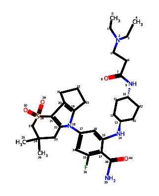 CCN(CC)CCC(=O)N[C@H]1CC[C@H](Nc2cc(-n3c4c(c5c3CC(C)(C)CS5(=O)=O)CCC4)cc(F)c2C(N)=O)CC1